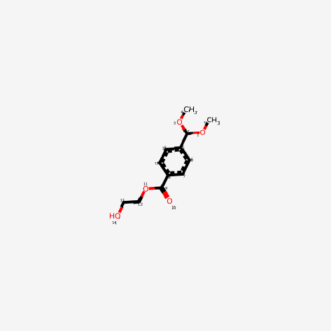 COC(OC)c1ccc(C(=O)OCCO)cc1